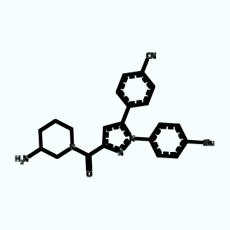 CC(C)(C)c1ccc(-n2nc(C(=O)N3CCCC(N)C3)cc2-c2ccc(C#N)cc2)cc1